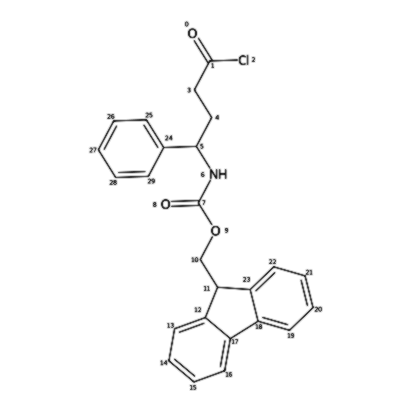 O=C(Cl)CCC(NC(=O)OCC1c2ccccc2-c2ccccc21)c1ccccc1